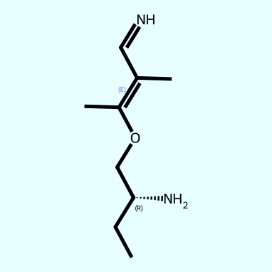 CC[C@@H](N)CO/C(C)=C(\C)C=N